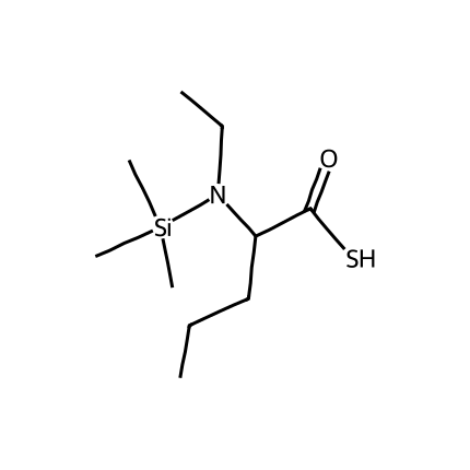 CCCC(C(=O)S)N(CC)[Si](C)(C)C